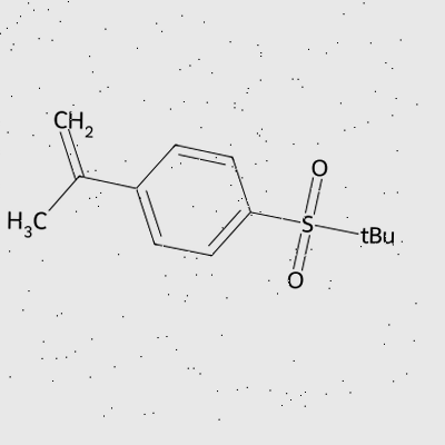 C=C(C)c1ccc(S(=O)(=O)C(C)(C)C)cc1